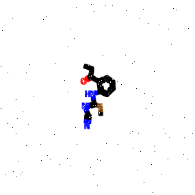 CCC(=O)c1ccccc1NC(=NC#N)SC